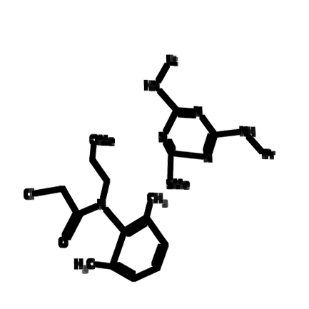 CCNc1nc(NC(C)C)nc(SC)n1.COCCN(C(=O)CCl)c1c(C)cccc1C